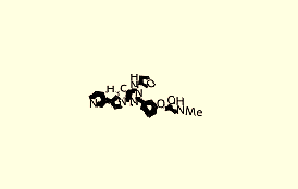 CNCC(O)COc1cccc(-c2nc(N[C@@H]3CCOC3)c(C)c(N3CCC(c4cccnc4)C3)n2)c1